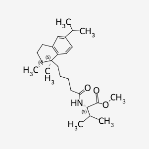 COC(=O)[C@@H](NC(=O)CCCC[C@]1(C)c2ccc(C(C)C)cc2CC[C@H]1C)C(C)C